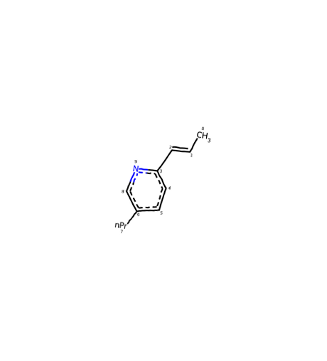 CC=Cc1ccc(CCC)cn1